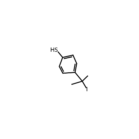 CC(C)(I)c1ccc(S)cc1